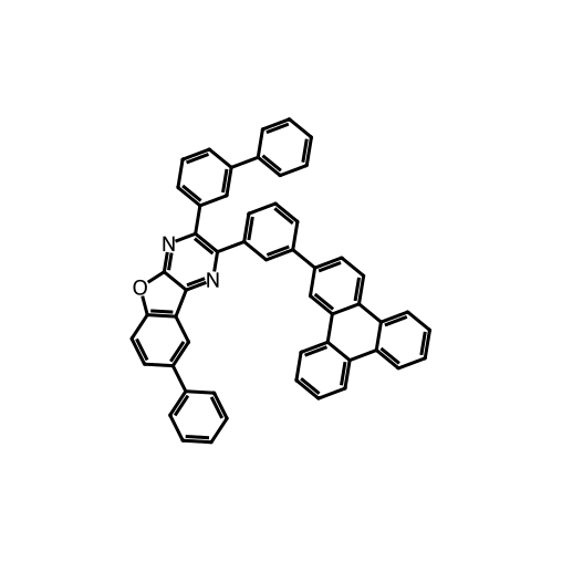 c1ccc(-c2cccc(-c3nc4oc5ccc(-c6ccccc6)cc5c4nc3-c3cccc(-c4ccc5c6ccccc6c6ccccc6c5c4)c3)c2)cc1